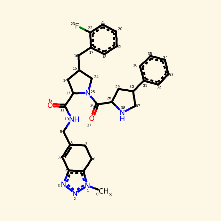 Cn1nnc2c1CCC(CNC(=O)C1CC(Cc3ccccc3F)CN1C(=O)C1CC(c3ccccc3)CN1)=C2